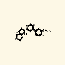 O=C1NCC[C@@]12CC[C@H](c1cc(-c3cccc(OC(F)(F)F)c3)ccn1)N2